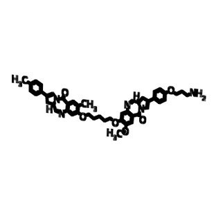 COc1cc2c(cc1OCCCCCOc1cc3c(cc1C)C(=O)N1C=C(c4ccc(C)cc4)C[C@H]1C=N3)N=C[C@@H]1CC(c3ccc(OCCCN)cc3)=CN1C2=O